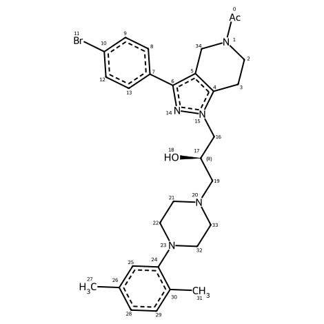 CC(=O)N1CCc2c(c(-c3ccc(Br)cc3)nn2C[C@H](O)CN2CCN(c3cc(C)ccc3C)CC2)C1